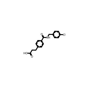 O=C(O)CCc1ccc(C(=O)NCc2ccc(Cl)cc2)cc1